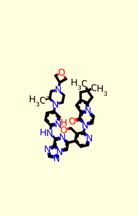 C[C@H]1CN(C2COC2)CCN1c1ccc(Nc2nc(-c3ccnc(-n4ccn5c6c(cc5c4=O)CC(C)(C)C6)c3CO)cn3ncnc23)nc1